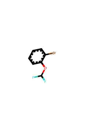 FC(F)Oc1[c]cccc1Br